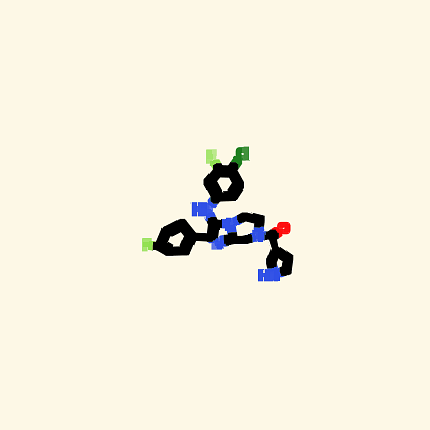 O=C([C@H]1CCNC1)N1CCn2c(nc(-c3ccc(F)cc3)c2Nc2ccc(Cl)c(F)c2)C1